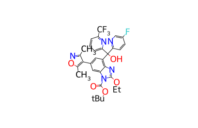 CCOc1nc2c(C(O)(c3ccc(F)cn3)c3cccc(C(F)(F)F)n3)cc(-c3c(C)noc3C)cc2n1C(=O)OC(C)(C)C